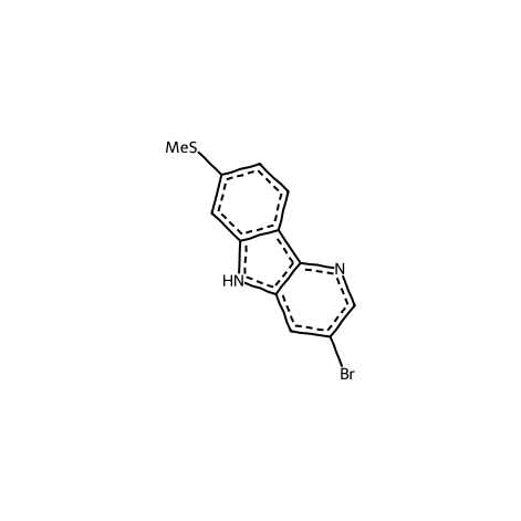 CSc1ccc2c(c1)[nH]c1cc(Br)cnc12